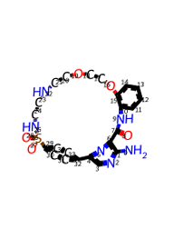 Nc1ncc2nc1C(=O)Nc1ccccc1OCCOCCNCCNS(=O)(=O)c1ccc-2cc1